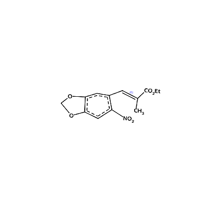 CCOC(=O)/C(C)=C/c1cc2c(cc1[N+](=O)[O-])OCO2